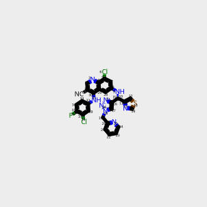 N#Cc1cnc2c(Cl)cc(N[C@@H](c3cscn3)c3cn(Cc4ccccn4)nn3)cc2c1Nc1ccc(F)c(Cl)c1